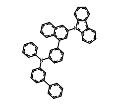 c1ccc(-c2cccc(N(c3ccccc3)c3cccc(-c4cc(-n5c6ccccc6c6ccccc65)cc5ccccc45)c3)c2)cc1